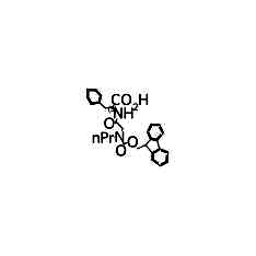 CCCN(CC(=O)N[C@@H](Cc1ccccc1)C(=O)O)C(=O)OCC1c2ccccc2-c2ccccc21